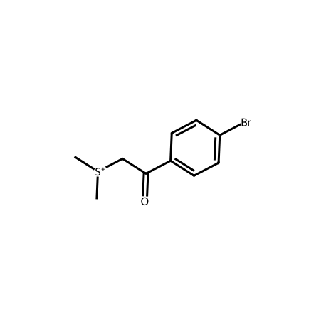 C[S+](C)CC(=O)c1ccc(Br)cc1